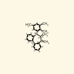 Cc1cc(C)c(C)c(N2c3ccccc3-c3ccccc3N(C)[C@@H]2C)c1